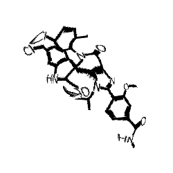 CNC(=O)c1ccc(-c2nc3c(n2C(C)C)C2(c4ccc(Cl)cc4NC2O)N(c2cc(Cl)ccc2C)C3=O)c(OC)c1